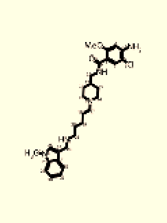 COc1cc(N)c(Cl)cc1C(=O)NCC1CCN(CCCCCNCc2cn(C)c3ccccc23)CC1